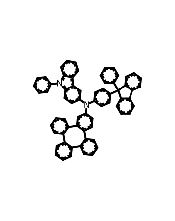 c1ccc(-n2c3ccccc3c3cc(N(c4ccc(C5(c6ccccc6)c6ccccc6-c6ccccc65)cc4)c4ccc5c(c4)-c4ccccc4-c4ccccc4-c4ccccc4-5)ccc32)cc1